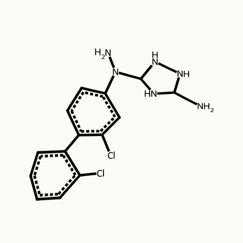 NC1NNC(N(N)c2ccc(-c3ccccc3Cl)c(Cl)c2)N1